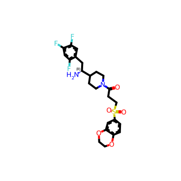 N[C@H](Cc1cc(F)c(F)cc1F)C1CCN(C(=O)CCS(=O)(=O)c2ccc3c(c2)OCCO3)CC1